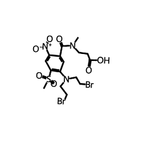 CN(CCC(=O)O)C(=O)c1cc(N(CCBr)CCBr)c(S(C)(=O)=O)cc1[N+](=O)[O-]